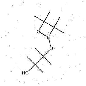 CC(C)(O)C(C)(C)OB1OC(C)(C)C1(C)C